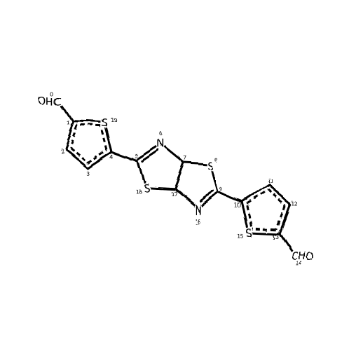 O=Cc1ccc(C2=NC3SC(c4ccc(C=O)s4)=NC3S2)s1